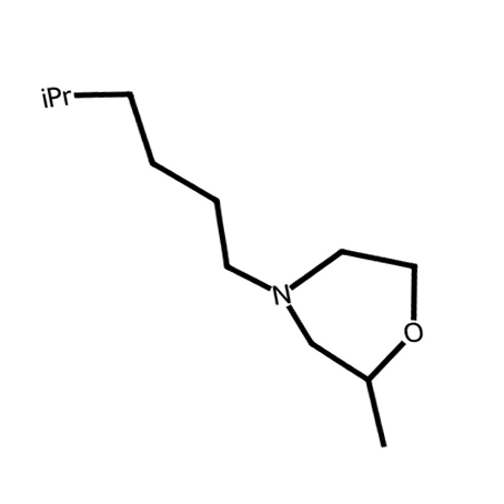 CC(C)CCCCN1CCOC(C)C1